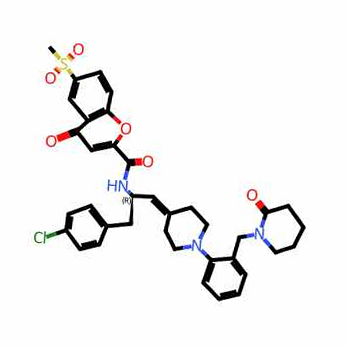 CS(=O)(=O)c1ccc2oc(C(=O)N[C@@H](C=C3CCN(c4ccccc4CN4CCCCC4=O)CC3)Cc3ccc(Cl)cc3)cc(=O)c2c1